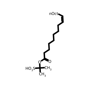 CCCCCCCC/C=C\CCCCCCCC(=O)OC(C)(C)S(=O)(=O)O